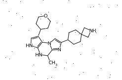 CC1Nc2[nH]cc(C3CCOCC3)c2-n2cc(C3CCC4(CC3)CNC4)nc21